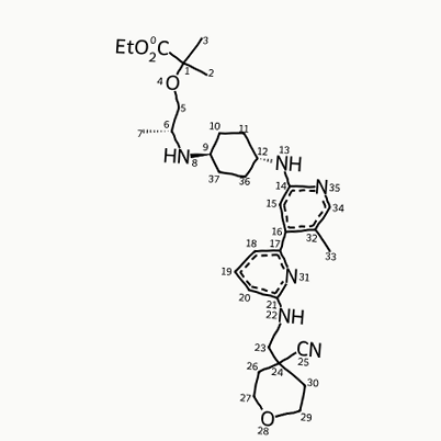 CCOC(=O)C(C)(C)OC[C@@H](C)N[C@H]1CC[C@H](Nc2cc(-c3cccc(NCC4(C#N)CCOCC4)n3)c(C)cn2)CC1